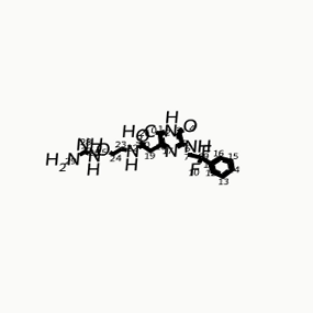 Cc1[nH]c(=O)c(NCC(F)(F)c2ccccc2)nc1CC(=O)NCCONC(=N)N